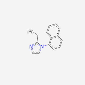 CC(C)Cc1nccn1-c1cccc2ccccc12